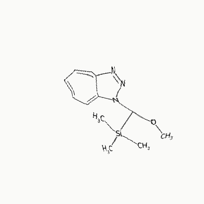 COC(n1nnc2ccccc21)[Si](C)(C)C